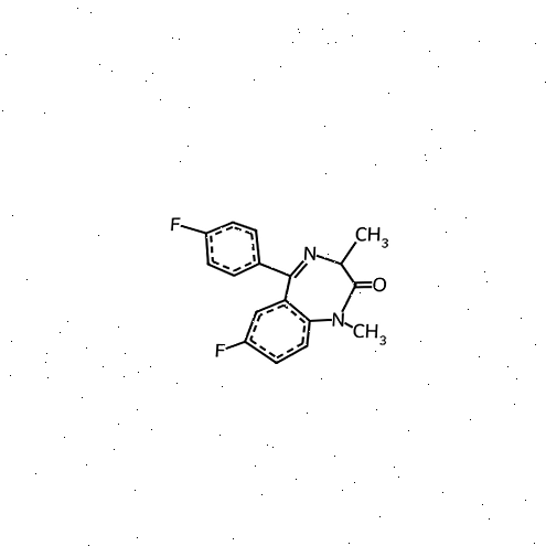 CC1N=C(c2ccc(F)cc2)c2cc(F)ccc2N(C)C1=O